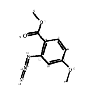 COC(=O)c1ccc(OC)cc1N=[N+]=[N-]